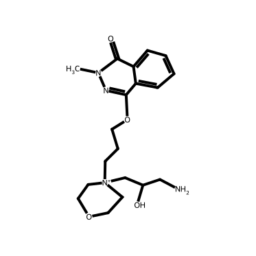 Cn1nc(OCCC[N+]2(CC(O)CN)CCOCC2)c2ccccc2c1=O